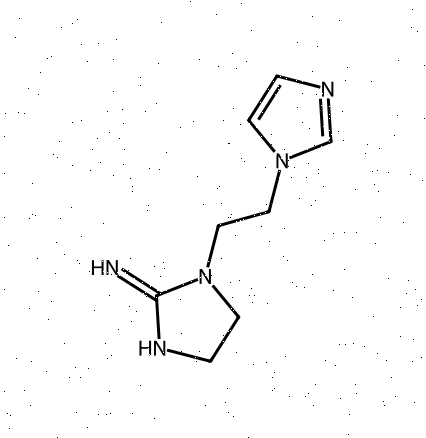 N=C1NCCN1CCn1ccnc1